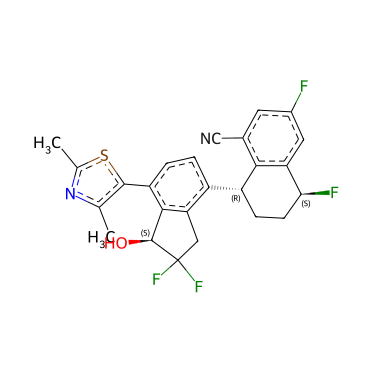 Cc1nc(C)c(-c2ccc([C@H]3CC[C@H](F)c4cc(F)cc(C#N)c43)c3c2[C@H](O)C(F)(F)C3)s1